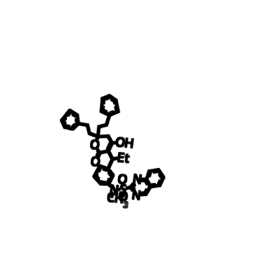 CCC(C1=C(O)CC(CCc2ccccc2)(CCc2ccccc2)OC1=O)c1cccc(N(C)S(=O)(=O)c2ncc3ccccc3n2)c1